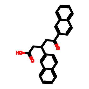 O=C(O)CC(CC(=O)c1ccc2ccccc2c1)c1ccc2ccccc2c1